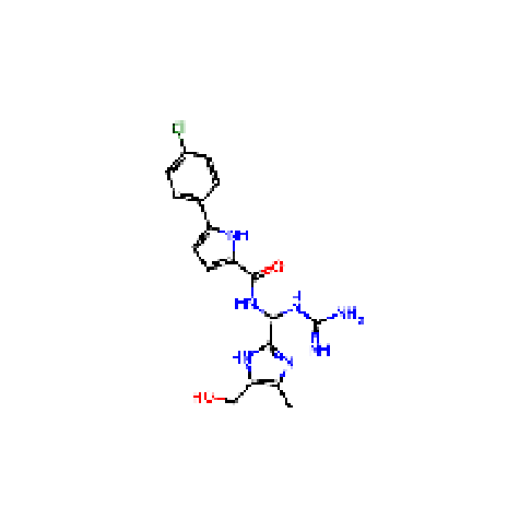 Cc1nc(C(NC(=N)N)NC(=O)c2ccc(-c3ccc(Cl)cc3)[nH]2)[nH]c1CO